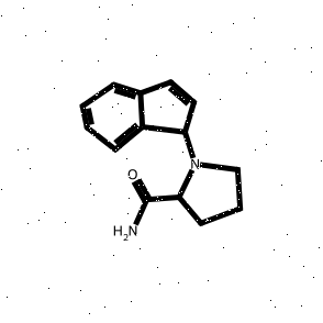 NC(=O)C1CCCN1C1C=Cc2ccccc21